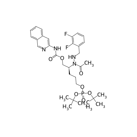 CC(=O)N(NCc1cccc(F)c1F)[C@@H](CCCOP(=O)(OC(C)(C)C)OC(C)(C)C)COC(=O)Nc1cc2ccccc2cn1